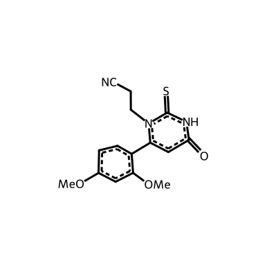 COc1ccc(-c2cc(=O)[nH]c(=S)n2CCC#N)c(OC)c1